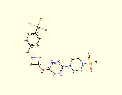 CS(=O)(=O)N1CCN(c2cnc(OC3CN(Cc4ccc(C(F)(F)F)cc4)C3)cn2)CC1